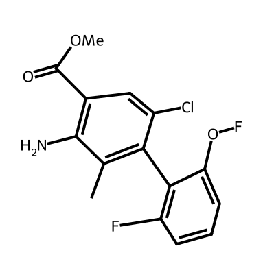 COC(=O)c1cc(Cl)c(-c2c(F)cccc2OF)c(C)c1N